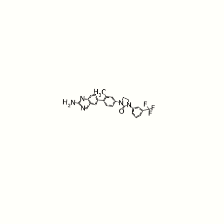 Cc1cc(N2CCN(c3cccc(C(F)(F)F)c3)C2=O)ccc1-c1ccc2nc(N)ncc2c1